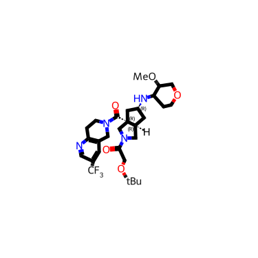 COC1COCCC1N[C@@H]1C[C@H]2CN(C(=O)COC(C)(C)C)C[C@@]2(C(=O)N2CCc3ncc(C(F)(F)F)cc3C2)C1